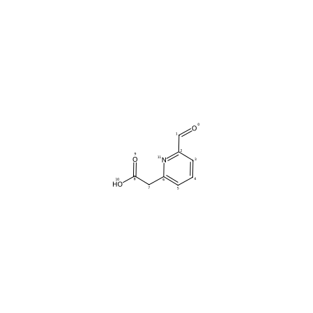 O=Cc1cccc(CC(=O)O)n1